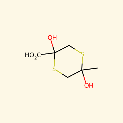 CC1(O)CSC(O)(C(=O)O)CS1